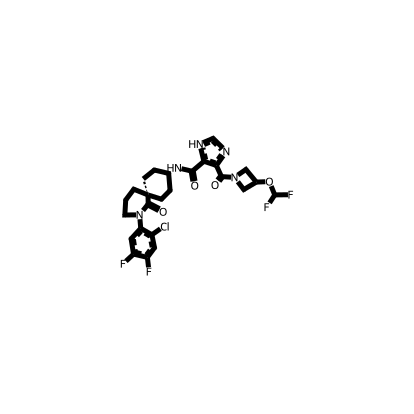 O=C(N[C@H]1CC[C@]2(CCCN(c3cc(F)c(F)cc3Cl)C2=O)CC1)c1[nH]cnc1C(=O)N1CC(OC(F)F)C1